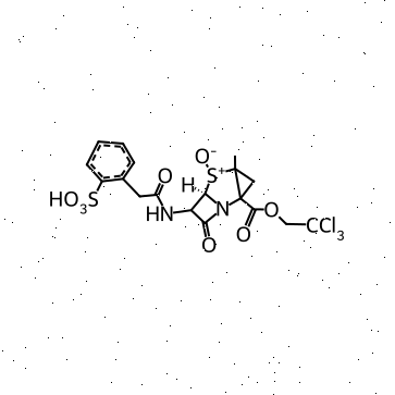 CC12CC1(C(=O)OCC(Cl)(Cl)Cl)N1C(=O)C(NC(=O)Cc3ccccc3S(=O)(=O)O)[C@H]1[S+]2[O-]